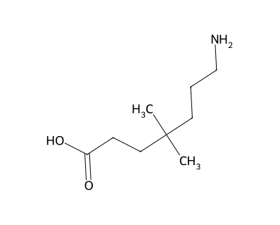 CC(C)(CCCN)CCC(=O)O